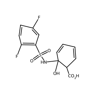 O=C(O)C1C=CC=CC1(O)NS(=O)(=O)c1cc(F)ccc1F